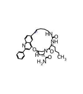 CCCC[C@@H]1NC(=O)NCCC/C=C/c2ccc3nc(-c4ccccc4)cc(c3c2)O[C@@H]2C[C@@H](C(N)=O)N(C2)C1=O